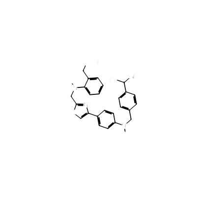 CCCC(CCC)c1ccc(CN(C)c2ccc(-c3csc(CN(C)c4ccccc4CC(=O)O)n3)cc2)cc1